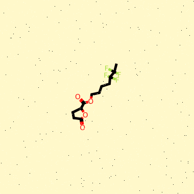 CC(F)(F)C(F)(F)CCCCOC(=O)C1CCC(=O)O1